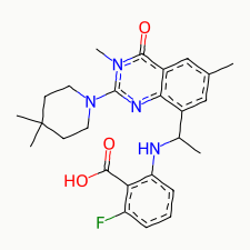 Cc1cc(C(C)Nc2cccc(F)c2C(=O)O)c2nc(N3CCC(C)(C)CC3)n(C)c(=O)c2c1